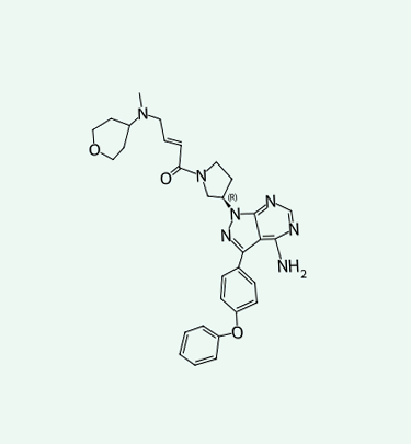 CN(CC=CC(=O)N1CC[C@@H](n2nc(-c3ccc(Oc4ccccc4)cc3)c3c(N)ncnc32)C1)C1CCOCC1